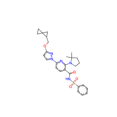 CC1(C)CCCN1c1nc(-n2ccc(OCC3CC34CC4)n2)ccc1C(=O)NS(=O)(=O)c1ccccc1